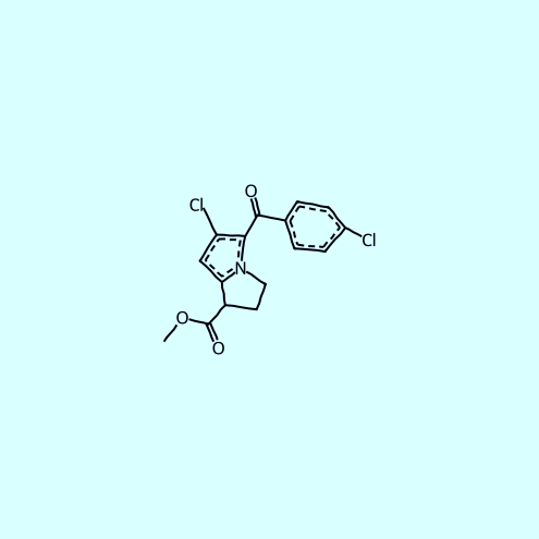 COC(=O)C1CCn2c1cc(Cl)c2C(=O)c1ccc(Cl)cc1